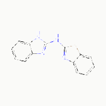 c1ccc2[nH]c(Nc3nc4ccccc4s3)nc2c1